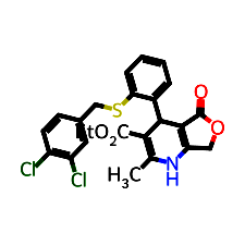 CCOC(=O)C1=C(C)NC2=C(C(=O)OC2)C1c1ccccc1SCc1ccc(Cl)c(Cl)c1